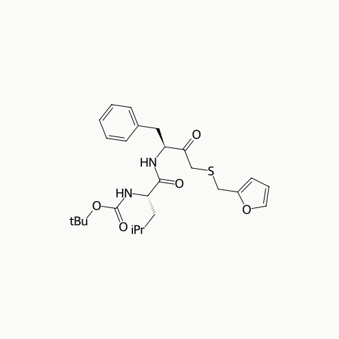 CC(C)C[C@H](NC(=O)OC(C)(C)C)C(=O)N[C@@H](Cc1ccccc1)C(=O)CSCc1ccco1